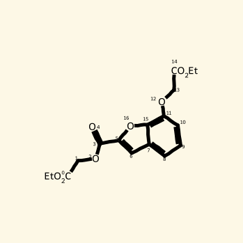 CCOC(=O)COC(=O)c1cc2cccc(OCC(=O)OCC)c2o1